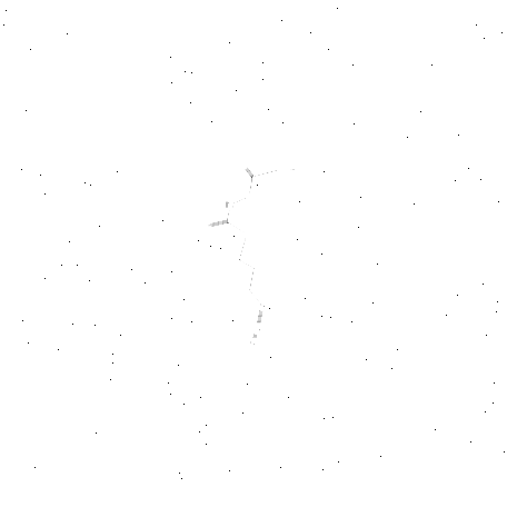 CCCCCC(=O)ONC(=O)OCCCN=[N+]=[N-]